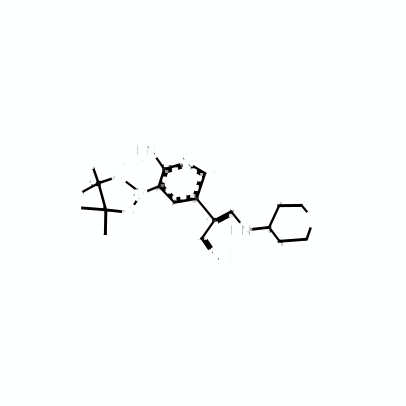 CC1(C)OB(c2cc(/C(C=N)=C/NC3CCOCC3)cnc2N)OC1(C)C